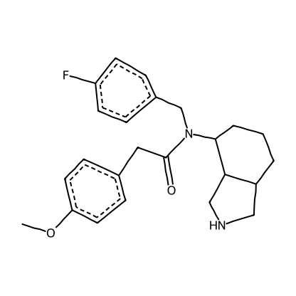 COc1ccc(CC(=O)N(Cc2ccc(F)cc2)C2CCCC3CNCC32)cc1